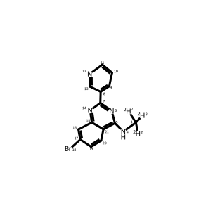 [2H]C([2H])([2H])Nc1nc(-c2cccnc2)nc2cc(Br)ccc12